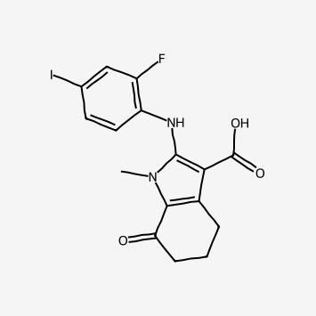 Cn1c(Nc2ccc(I)cc2F)c(C(=O)O)c2c1C(=O)CCC2